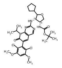 COc1cc(OC)c(Cl)c(-c2cc3cnc(N[C@@H]4C(C5CCCC5)OC[C@@H]4NC(=O)OC(C)(C)C)nc3n(C(C)C)c2=O)c1Cl